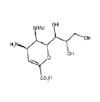 CC(=O)NC1C(C(O)C(O)CO)OC(C(=O)O)=C[C@H]1N